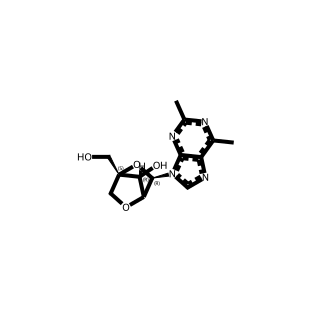 Cc1nc(C)c2ncn([C@@H]3O[C@@]4(CO)COC3[C@H]4O)c2n1